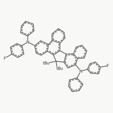 CC(C)(C)C1(C(C)(C)C)c2cc(N(c3ccccc3)c3ccc(F)cc3)c3ccccc3c2-c2c1c1ccc(N(c3ccccc3)c3ccc(F)cc3)cc1c1ccccc21